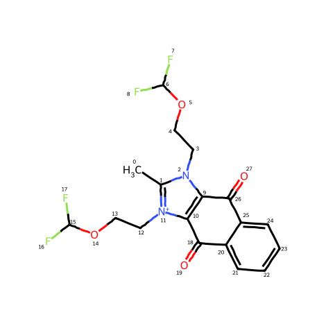 Cc1n(CCOC(F)F)c2c([n+]1CCOC(F)F)C(=O)c1ccccc1C2=O